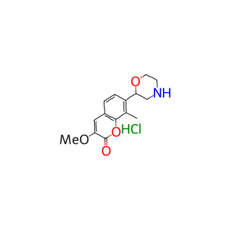 COc1cc2ccc(C3CNCCO3)c(C)c2oc1=O.Cl